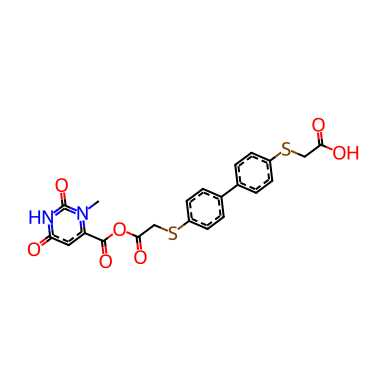 Cn1c(C(=O)OC(=O)CSc2ccc(-c3ccc(SCC(=O)O)cc3)cc2)cc(=O)[nH]c1=O